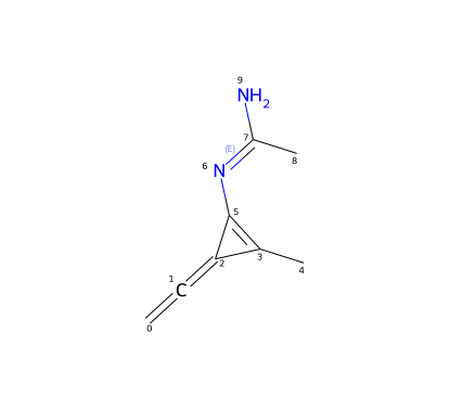 C=C=C1C(C)=C1/N=C(\C)N